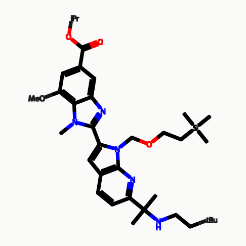 COc1cc(C(=O)OC(C)C)cc2nc(-c3cc4ccc(C(C)(C)NCCC(C)(C)C)nc4n3COCC[Si](C)(C)C)n(C)c12